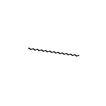 [CH]=C/C=C/C=C/C=C/C=C/C=C/C=C/C=C/C=C/C=C/C=C/C=C/C=C/C